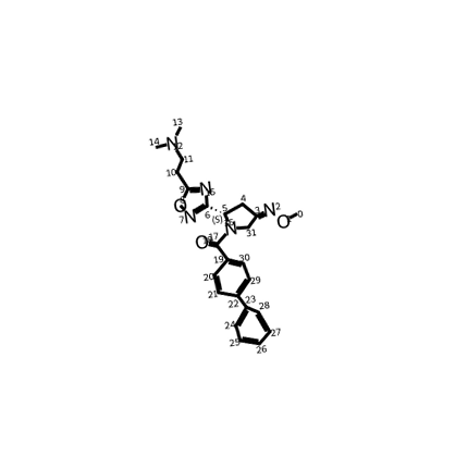 CON=C1C[C@@H](c2noc(CCN(C)C)n2)N(C(=O)c2ccc(-c3ccccc3)cc2)C1